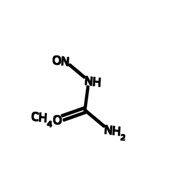 C.NC(=O)NN=O